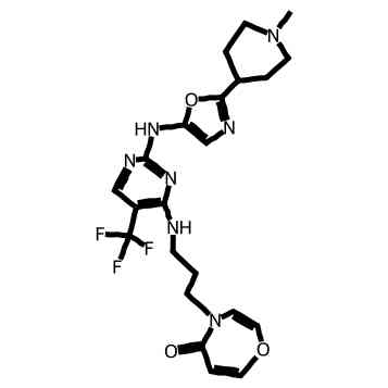 CN1CCC(c2ncc(Nc3ncc(C(F)(F)F)c(NCCCN4C=COC=CC4=O)n3)o2)CC1